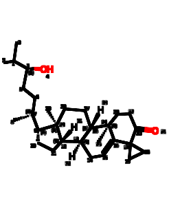 CC(C)[C@@H](O)CC[C@@H](C)[C@H]1CC[C@H]2[C@@H]3CC=C4C5(CC5)C(=O)CC[C@]4(C)[C@H]3CC[C@]12C